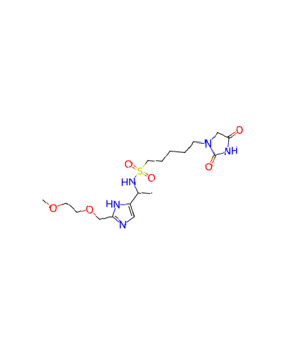 COCCOCc1ncc(C(C)NS(=O)(=O)CCCCCN2CC(=O)NC2=O)[nH]1